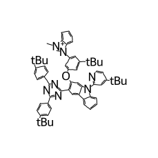 C[n+]1cn(-c2cc(Oc3cc4c(cc3-c3nc(-c5ccc(C(C)(C)C)cc5)nc(-c5ccc(C(C)(C)C)cc5)n3)c3ccccc3n4-c3cc(C(C)(C)C)ccn3)cc(C(C)(C)C)c2)c2ccccc21